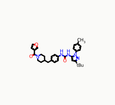 Cc1ccc(-n2nc(C(C)(C)C)cc2NC(=O)Nc2ccc(CC3CCN(C(=O)c4ccoc4)CC3)cc2)cc1